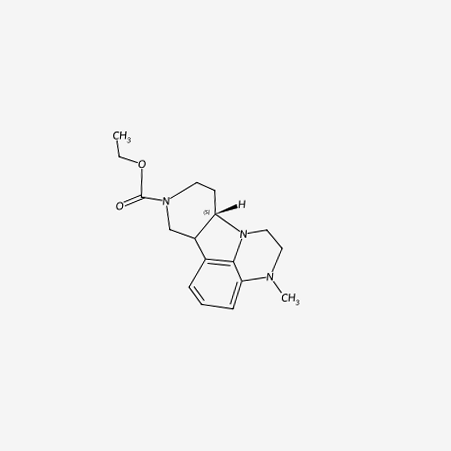 CCOC(=O)N1CC[C@H]2C(C1)c1cccc3c1N2CCN3C